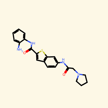 Nc1ccccc1NC(=O)c1cc2ccc(NC(=O)CN3CCCC3)cc2s1